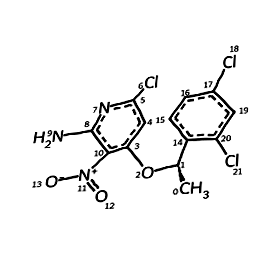 C[C@@H](Oc1cc(Cl)nc(N)c1[N+](=O)[O-])c1ccc(Cl)cc1Cl